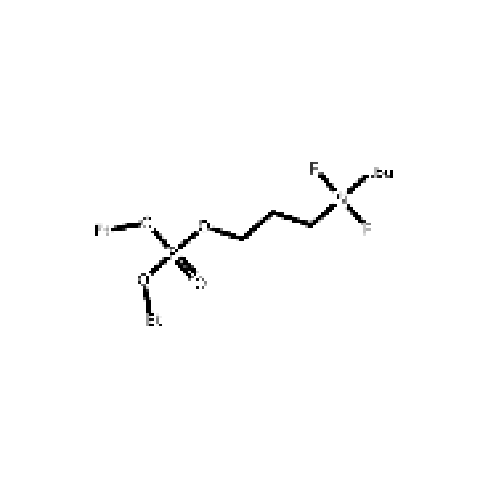 CCOP(=O)(OCC)OCCC[Si](F)(F)C(C)(C)C